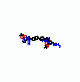 CC(C)(C)OC(=O)N1CCCC1c1ncc(-c2ccc3cc(-c4ccc(-c5cnc(C6CC(CN)CN6C(=O)OC(C)(C)C)[nH]5)cc4)ccc3c2)[nH]1